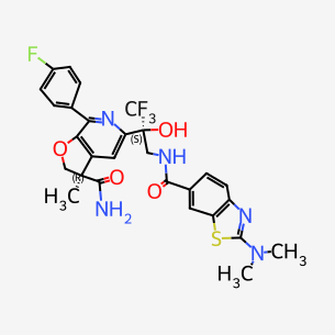 CN(C)c1nc2ccc(C(=O)NC[C@](O)(c3cc4c(c(-c5ccc(F)cc5)n3)OC[C@]4(C)C(N)=O)C(F)(F)F)cc2s1